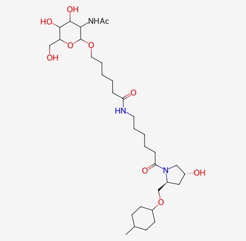 CC(=O)NC1C(OCCCCCC(=O)NCCCCCC(=O)N2C[C@H](O)C[C@H]2COC2CCC(C)CC2)OC(CO)C(O)C1O